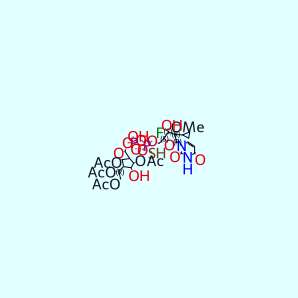 CO[C@@]1(C2CC2)[C@H](n2ccc(=O)[nH]c2=O)O[C@](F)(COP(=O)(S)OP(=O)(O)OC2OC3(OC(C)=O)C2C(OC(C)=O)C(O)C3[C@H](COC(C)=O)OC(C)=O)[C@H]1O